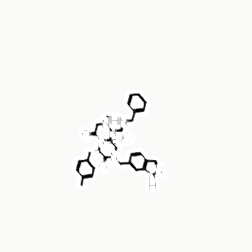 Cc1ccc(C[C@H]2C(=O)N(Cc3ccc4cn[nH]c4c3)C[C@H]3N2C(=O)CN(C)N3C(=O)NCc2ccccc2)cc1